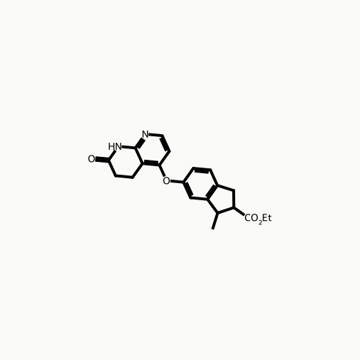 CCOC(=O)C1Cc2ccc(Oc3ccnc4c3CCC(=O)N4)cc2C1C